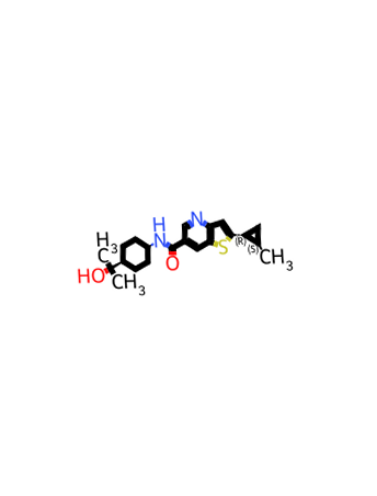 C[C@H]1C[C@H]1c1cc2ncc(C(=O)N[C@H]3CC[C@H](C(C)(C)O)CC3)cc2s1